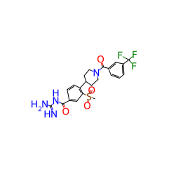 CS(=O)(=O)c1cc(C(=O)NC(=N)N)ccc1C1CCN(C(=O)c2cccc(C(F)(F)F)c2)CC1